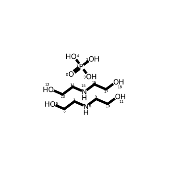 O=P(O)(O)O.OCCNCCO.OCCNCCO